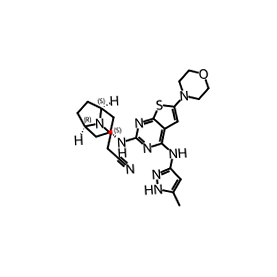 Cc1cc(Nc2nc(N[C@@H]3C[C@H]4CC[C@@H](C3)N4CCC#N)nc3sc(N4CCOCC4)cc23)n[nH]1